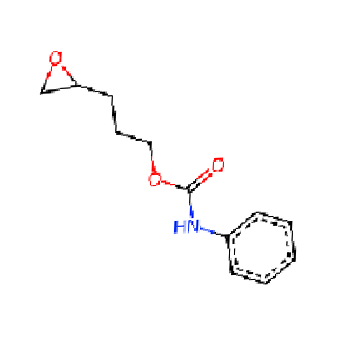 O=C(Nc1ccccc1)OCCCC1CO1